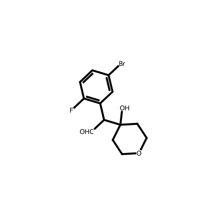 O=CC(c1cc(Br)ccc1F)C1(O)CCOCC1